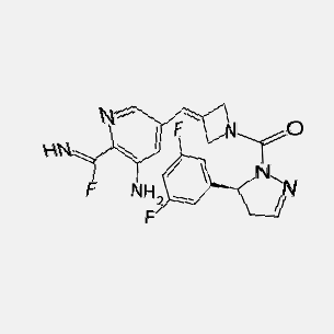 N=C(F)c1ncc(C=C2CN(C(=O)N3N=CC[C@H]3c3cc(F)cc(F)c3)C2)cc1N